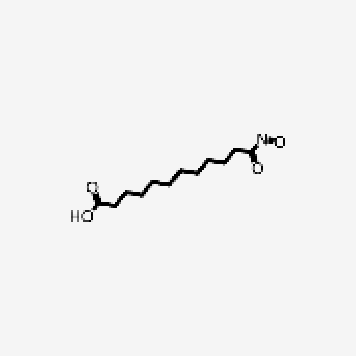 O=NC(=O)CCCCCCCCCCC(=O)O